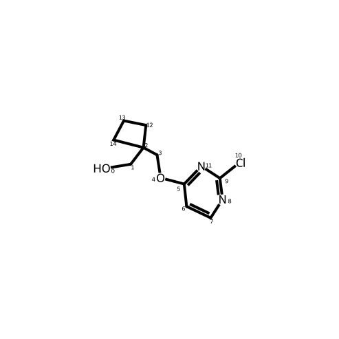 OCC1(COc2ccnc(Cl)n2)CCC1